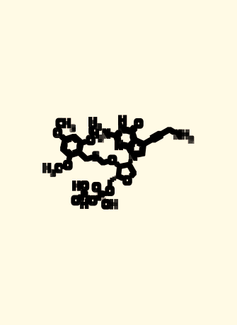 COc1cc(OC)c(CSCO[C@H]2[C@H](n3cc(C#CCN)c4c(=O)[nH]c(N)nc43)CO[C@@H]2COP(=O)(O)O[PH](=O)O)c(OC)c1